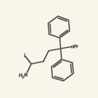 CCCC(CCC(N)I)(c1ccccc1)c1ccccc1